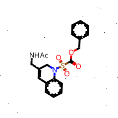 CC(=O)NCC1=Cc2ccccc2N(S(=O)(=O)C(=O)OCc2ccccc2)C1